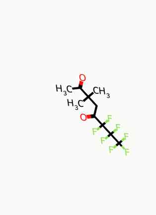 CC(=O)C(C)(C)CC(=O)C(F)(F)C(F)(F)C(F)(F)F